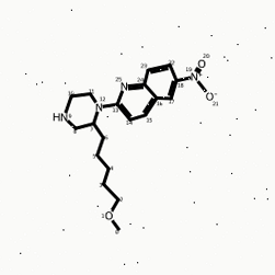 COCCCCCC1CNCCN1c1ccc2cc([N+](=O)[O-])ccc2n1